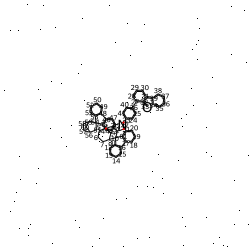 CCC1CC2CCCC(C2)C12c1ccccc1-c1cccc(N(c3ccc(-c4cccc5c4oc4ccccc45)cc3)c3ccc4c(c3)-c3ccccc3C43CC4CCC3C4)c12